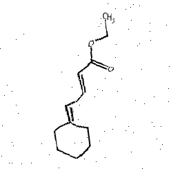 CCOC(=O)C=CC=C1CCCCC1